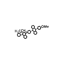 COc1ccc(-c2c3ccccc3c(-c3ccc(-c4cc5c(c6ccccc46)-c4ccccc4C5(C)C)cc3)c3ccccc23)cc1